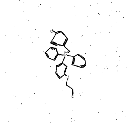 FCCOc1cccc([PH](Cc2ccc(Cl)cc2)(c2ccccc2)c2ccccc2)c1